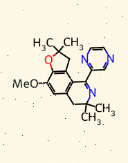 COc1cc2c(c3c1OC(C)(C)C3)C(c1cnccn1)=NC(C)(C)C2